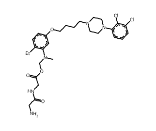 CCc1ccc(OCCCCN2CCN(c3cccc(Cl)c3Cl)CC2)cc1N(C)COC(=O)CNC(=O)CN